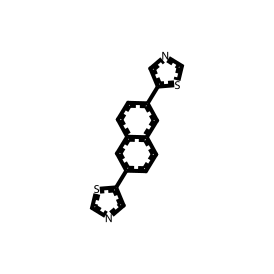 c1ncc(-c2ccc3cc(-c4cncs4)ccc3c2)s1